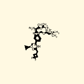 C[C@H](O[C@H](C)[C@H](N)c1nc2cc([C@@H](COC3CC3)NC(=O)CC3CC(F)(F)C3)ccc2n1COCC[Si](C)(C)C)C(F)(F)F